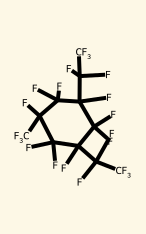 FC(F)(F)C(F)(F)C1(F)C(F)(F)C(F)(C(F)(F)F)C(F)(F)C(F)(C(F)(F)C(F)(F)F)C1(F)F